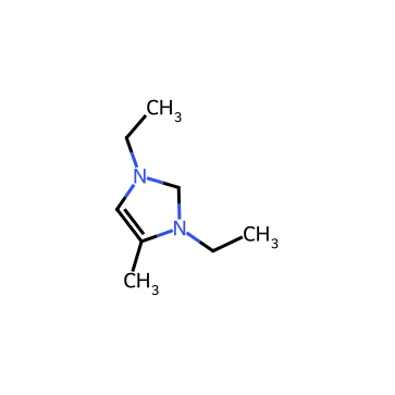 CCN1C=C(C)N(CC)C1